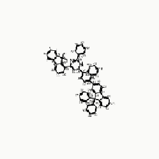 CC1(C)c2ccccc2-c2cccc(-c3cc(-c4ccc(-c5ccc6c(c5)C(c5ccccc5)(c5ccccc5)c5ccccc5-6)c5ccccc45)nc(-c4ccccc4)n3)c21